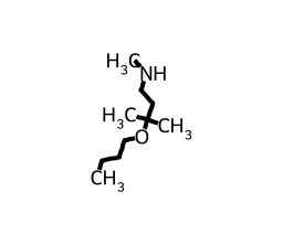 CCCCOC(C)(C)CCNC